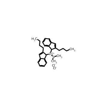 CCCCC1=Cc2ccccc2[CH]1[Zr+2]([CH]1C(CCCC)=Cc2ccccc21)=[Si](C)C.[Cl-].[Cl-]